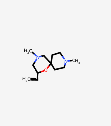 C=CC1CN(C)CC2(CCN(C)CC2)O1